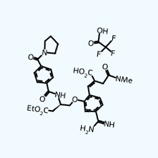 CCOC(=O)C[C@H](COc1cc(C(=N)N)ccc1C=C(CC(=O)NC)C(=O)O)NC(=O)c1ccc(C(=O)N2CCCC2)cc1.O=C(O)C(F)(F)F